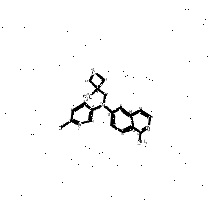 CC1(CN(c2ccc(Cl)nc2)c2ccc3c(N)nccc3c2)COC1